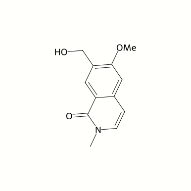 COc1cc2ccn(C)c(=O)c2cc1CO